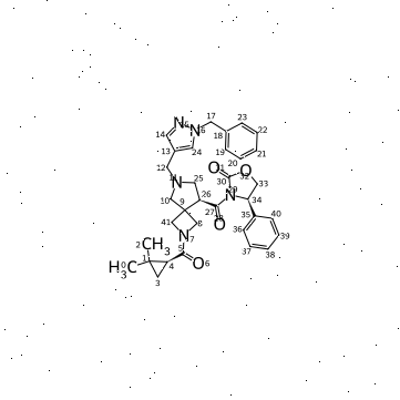 CC1(C)C[C@@H]1C(=O)N1CC2(CN(Cc3cnn(Cc4ccccc4)c3)C[C@H]2C(=O)N2C(=O)OC[C@H]2c2ccccc2)C1